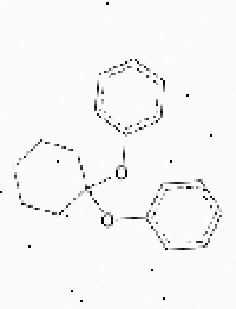 c1ccc(OC2(Oc3ccccc3)CCCCC2)cc1